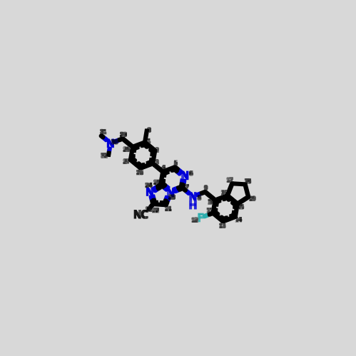 Cc1cc(-c2cnc(NCc3c(F)ccc4c3CCC4)n3cc(C#N)nc23)ccc1CN(C)C